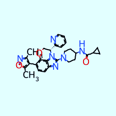 Cc1noc(C)c1-c1ccc2nc(N3CCC(NC(=O)C4CC4)CC3)n3c2c1OC[C@@H]3c1ccccn1